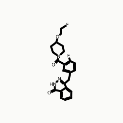 O=C(c1cc(Cc2n[nH]c(=O)c3ccccc23)ccc1F)N1CCC(OCCF)CC1